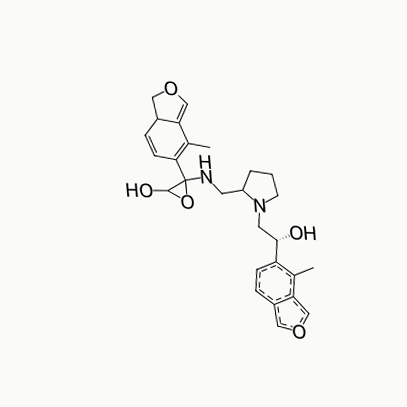 CC1=C(C2(NCC3CCCN3C[C@H](O)c3ccc4cocc4c3C)OC2O)C=CC2COC=C12